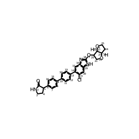 O=C1NCCC1c1ccc(-c2ccc(-c3cc4nc(OC5CO[C@@H]6CCO[C@H]56)[nH]c4cc3Cl)cc2)cc1